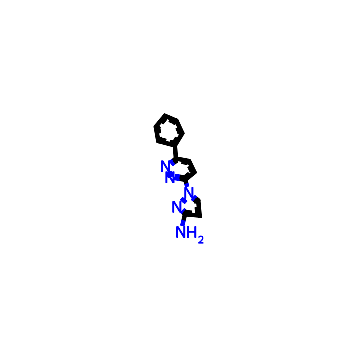 Nc1ccn(-c2ccc(-c3ccccc3)nn2)n1